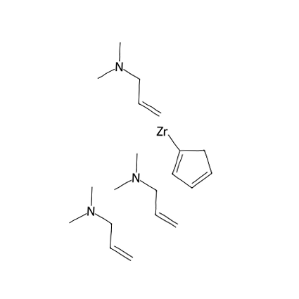 C=CCN(C)C.C=CCN(C)C.C=CCN(C)C.[Zr][C]1=CC=CC1